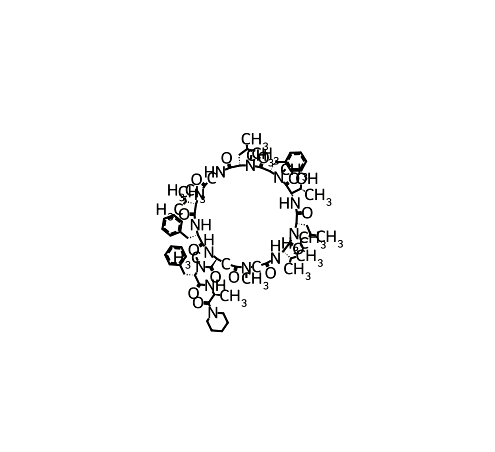 CC(C)C[C@H]1C(=O)N[C@@H]([C@@H](C)O)C(=O)N(C)[C@@H](Cc2ccccc2)C(=O)N(C)[C@@H](CC(C)C)C(=O)NCC(=O)N(C)[C@@H](C(C)C)C(=O)N[C@@H](Cc2ccccc2)C(=O)N[C@H](C(=O)N(C)[C@@H](Cc2ccccc2)C(=O)N[C@@H](C)C(=O)N2CCCCC2)CC(=O)N(C)CC(=O)N[C@@H](C(C)C)C(=O)N1C